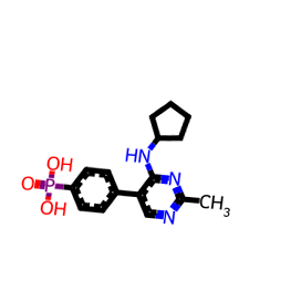 Cc1ncc(-c2ccc(P(=O)(O)O)cc2)c(NC2CCCC2)n1